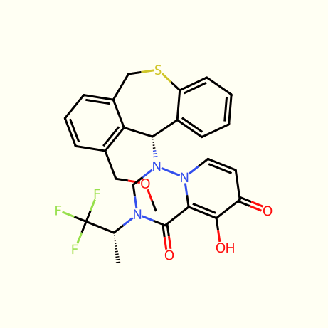 COCc1cccc2c1[C@@H](N1CN([C@H](C)C(F)(F)F)C(=O)c3c(O)c(=O)ccn31)c1ccccc1SC2